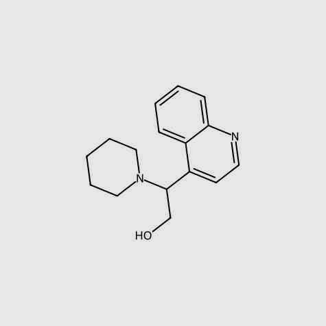 OCC(c1ccnc2ccccc12)N1CCCCC1